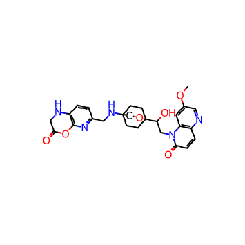 COc1cnc2ccc(=O)n(CC(O)C34CCC(NCc5ccc6c(n5)OC(=O)CN6)(CC3)CO4)c2c1